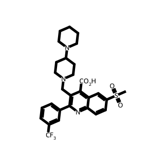 CS(=O)(=O)c1ccc2nc(-c3cccc(C(F)(F)F)c3)c(CN3CCC(N4CCCCC4)CC3)c(C(=O)O)c2c1